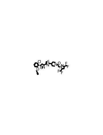 C#CCOc1cccc(Cl)c1[C@@H]1CC(c2csc(C3CCN(C(=O)Cn4nc(C(F)F)cc4C(F)F)CC3)n2)=NO1